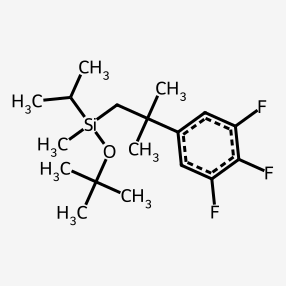 CC(C)[Si](C)(CC(C)(C)c1cc(F)c(F)c(F)c1)OC(C)(C)C